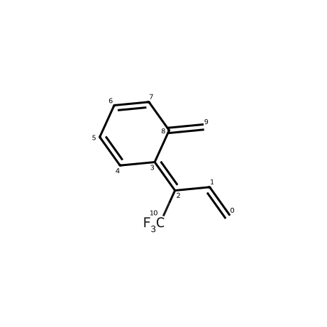 C=C/C(=c1/ccccc1=C)C(F)(F)F